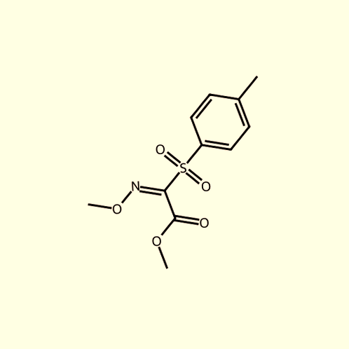 CON=C(C(=O)OC)S(=O)(=O)c1ccc(C)cc1